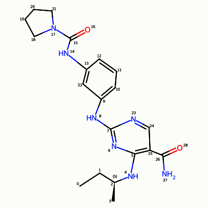 CC[C@H](C)Nc1nc(Nc2cccc(NC(=O)N3CCCC3)c2)ncc1C(N)=O